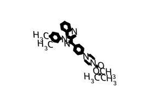 Cc1ccc(-n2nc(-c3ccc(N4CCN(C(=O)OC(C)(C)C)CC4)cc3)c3cnc4ccccc4c32)cc1C